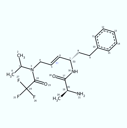 CC(C)N(C/C=C/[C@H](CCc1ccccc1)NC(=O)[C@H](C)N)C(=O)C(F)(F)F